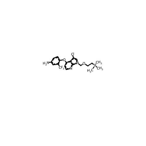 C[Si](C)(C)CCOCn1cc(Cl)c2c(Oc3ccc(N)cc3C(F)(F)F)ccnc21